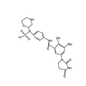 CCS(=O)(=O)N(c1ccc(NC(=O)c2cc(N3CCC(=O)NC3=O)cc(C(C)(C)C)c2O)cc1)C1CNCCO1